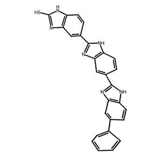 Sc1nc2cc(-c3nc4cc(-c5nc6cc(-c7ccccc7)ccc6[nH]5)ccc4[nH]3)ccc2[nH]1